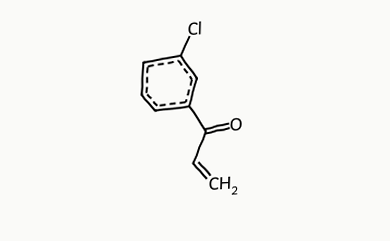 C=CC(=O)c1cccc(Cl)c1